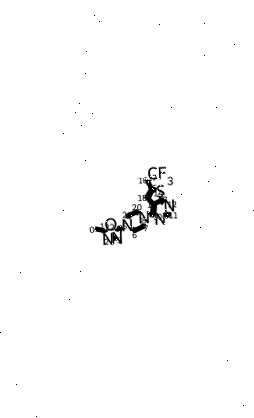 Cc1nnc(N2CCN(c3ncnc4sc(CC(F)(F)F)cc34)CC2)o1